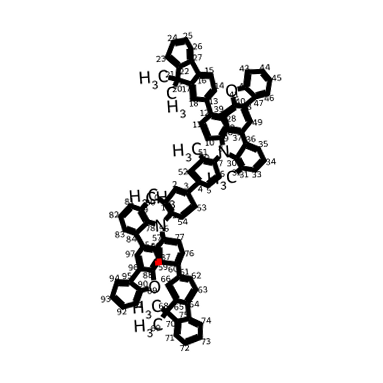 Cc1cc(-c2ccc(N(c3ccc(-c4ccc5c(c4)C(C)(C)c4ccccc4-5)cc3)c3c(C)cccc3-c3ccc4oc5ccccc5c4c3)c(C)c2)ccc1N(c1ccc(-c2ccc3c(c2)C(C)(C)c2ccccc2-3)cc1)c1c(C)cccc1-c1ccc2oc3ccccc3c2c1